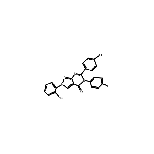 O=c1c2cn(-c3ccccc3[N+](=O)[O-])nc2nc(-c2ccc(Cl)cc2)n1-c1ccc(Cl)cc1